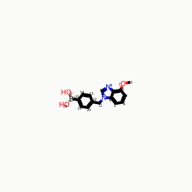 COc1cccc2c1ncn2Cc1ccc(B(O)O)cc1